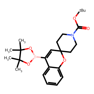 CC(C)(C)OC(=O)N1CCC2(C=C(B3OC(C)(C)C(C)(C)O3)c3ccccc3O2)CC1